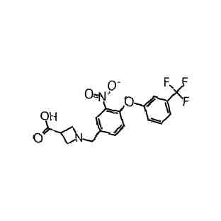 O=C(O)C1CN(Cc2ccc(Oc3cccc(C(F)(F)F)c3)c([N+](=O)[O-])c2)C1